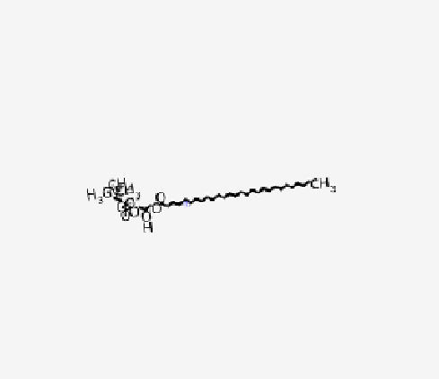 CCCCCCCCCCCCCCCCCCCCCC/C=C/CCCC(=O)OC[C@@H](O)COP(=O)([O-])OCC[N+](C)(C)C